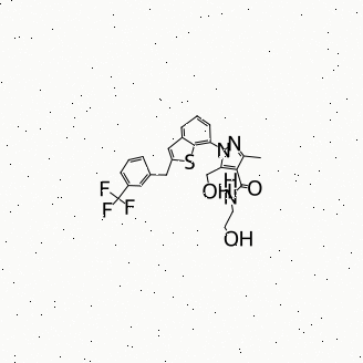 Cc1nn(-c2cccc3cc(Cc4cccc(C(F)(F)F)c4)sc23)c(CO)c1C(=O)NCCO